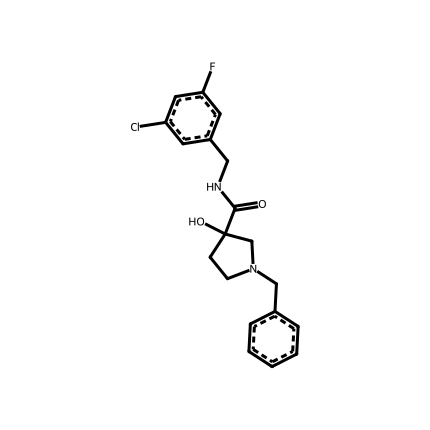 O=C(NCc1cc(F)cc(Cl)c1)C1(O)CCN(Cc2ccccc2)C1